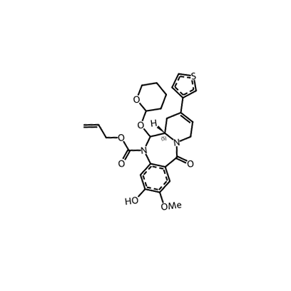 C=CCOC(=O)N1c2cc(O)c(OC)cc2C(=O)N2CC=C(c3ccsc3)C[C@H]2C1OC1CCCCO1